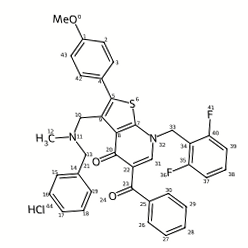 COc1ccc(-c2sc3c(c2CN(C)Cc2ccccc2)c(=O)c(C(=O)c2ccccc2)cn3Cc2c(F)cccc2F)cc1.Cl